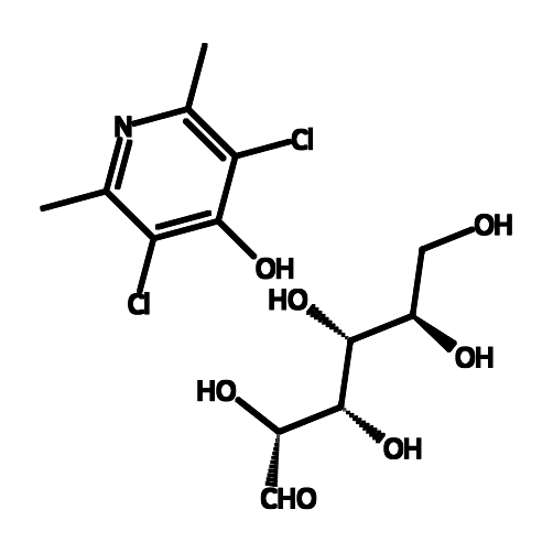 Cc1nc(C)c(Cl)c(O)c1Cl.O=C[C@H](O)[C@@H](O)[C@H](O)[C@H](O)CO